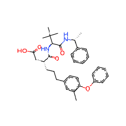 Cc1cc(CCC[C@H](CC(=O)O)C(=O)N[C@H](C(=O)N[C@H](C)c2ccccc2)C(C)(C)C)ccc1Oc1ccccc1